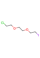 ClCCOCCOCCI